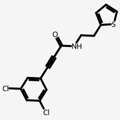 O=C(C#Cc1cc(Cl)cc(Cl)c1)NCCc1cccs1